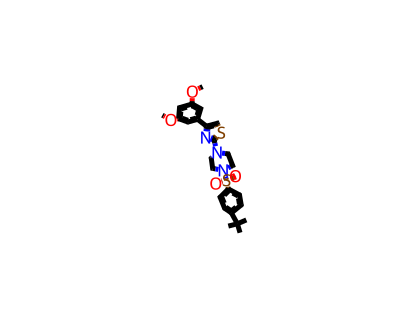 COc1cc(OC)cc(-c2csc(N3CCN(S(=O)(=O)c4ccc(C(C)(C)C)cc4)CC3)n2)c1